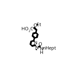 CCCCCCCNC(=O)N(C)c1cccc(-c2ccc(/C=C(/OCC)C(=O)O)cc2)n1